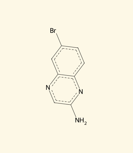 Nc1cnc2cc(Br)ccc2n1